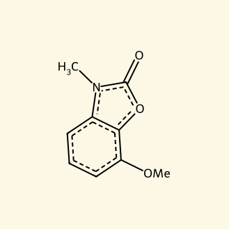 COc1cccc2c1oc(=O)n2C